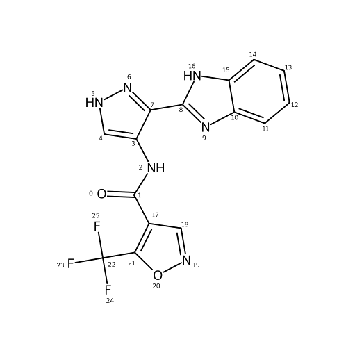 O=C(Nc1c[nH]nc1-c1nc2ccccc2[nH]1)c1cnoc1C(F)(F)F